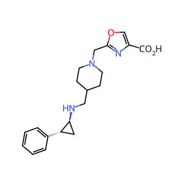 O=C(O)c1coc(CN2CCC(CN[C@H]3C[C@@H]3c3ccccc3)CC2)n1